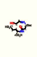 CCCCCCCCCCCC(=O)N[C@@H](CCC(=O)O)C(=O)O.NCCO